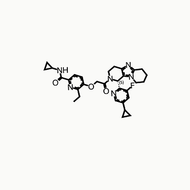 CCc1nc(C(=O)NC2CC2)ccc1OCC(=O)N1CCc2nc3n(c2[C@@H]1c1ncc(C2CC2)cc1F)CCCC3